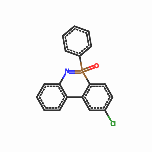 O=S1(c2ccccc2)=Nc2ccccc2-c2cc(Cl)ccc21